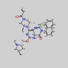 C=CC(=O)N1C[C@H](C)N(c2nc(OC[C@@H]3C[C@@H](C)CN3C)nc3c(=O)n(-c4cccc5cccc(Cl)c45)c(C)nc23)[C@@H](C)C1